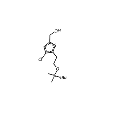 CC(C)(C)[Si](C)(C)OCCc1sc(CO)cc1Cl